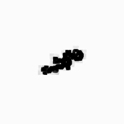 Cc1cc2c(cnn2C2CCCCO2)c(Br)c1/C=C/OCC[Si](C)(C)C